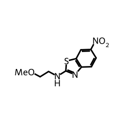 COCCNc1nc2ccc([N+](=O)[O-])cc2s1